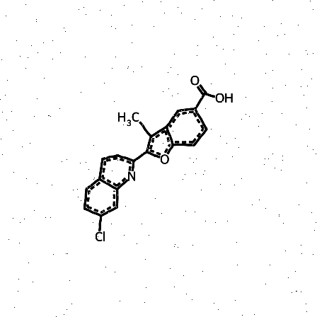 Cc1c(-c2ccc3ccc(Cl)cc3n2)oc2ccc(C(=O)O)cc12